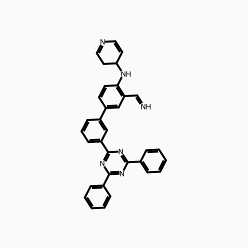 N=Cc1cc(-c2cccc(-c3nc(-c4ccccc4)nc(-c4ccccc4)n3)c2)ccc1NC1C=CN=CC1